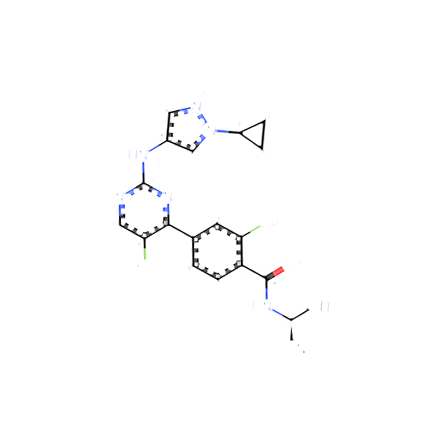 C[C@@H](C#N)NC(=O)c1ccc(-c2nc(Nc3cnn(C4CC4)c3)ncc2F)cc1F